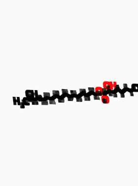 CCCCCCC(O)C(=O)OCCCCCCCCCCCCCCCC(C)C